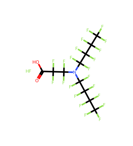 F.O=C(O)C(F)(F)C(F)(F)N(C(F)(F)C(F)(F)C(F)(F)C(F)(F)F)C(F)(F)C(F)(F)C(F)(F)C(F)(F)F